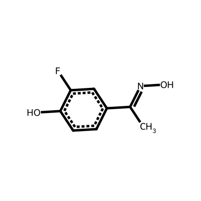 CC(=NO)c1ccc(O)c(F)c1